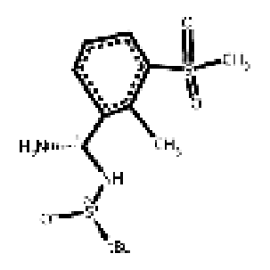 Cc1c([C@@H](N)N[S@+]([O-])C(C)(C)C)cccc1S(C)(=O)=O